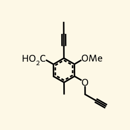 C#CCOc1c(C)cc(C(=O)O)c(C#CC)c1OC